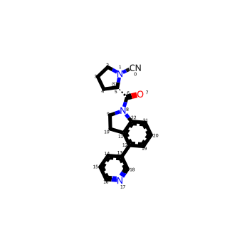 N#CN1CCC[C@H]1C(=O)N1CCc2c(-c3cccnc3)cccc21